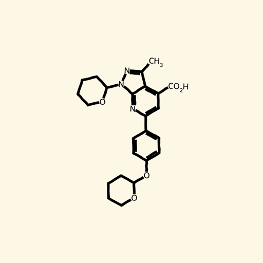 Cc1nn(C2CCCCO2)c2nc(-c3ccc(OC4CCCCO4)cc3)cc(C(=O)O)c12